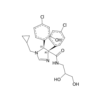 O=C(NCC(O)CO)[C@]1(c2ccc(Cl)cc2)N=CN(CC2CC2)[C@H]1c1ccc(Cl)cc1O